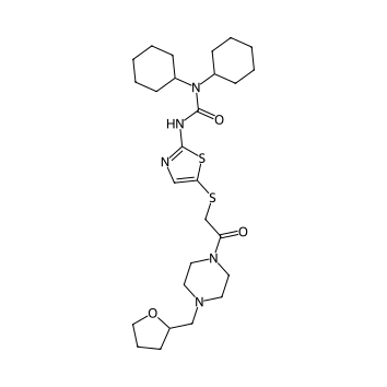 O=C(CSc1cnc(NC(=O)N(C2CCCCC2)C2CCCCC2)s1)N1CCN(CC2CCCO2)CC1